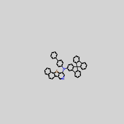 c1ccc(-c2ccc(N(c3ccc4c(c3)-c3ccccc3C43c4ccccc4-c4ccccc43)c3cncc4c3sc3c5ccccc5ccc43)cc2)cc1